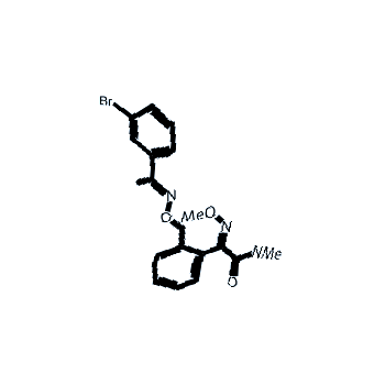 CNC(=O)/C(=N/OC)c1ccccc1CO/N=C(\C)c1cccc(Br)c1